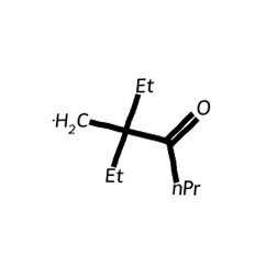 [CH2]C(CC)(CC)C(=O)CCC